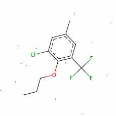 CCCOc1c(Cl)cc(C)cc1C(F)(F)F